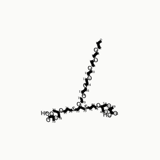 CCCOCCOCCOCCOCCOCCOCCOC(CSCCCOC1COC(C)(C(=O)O)OC1)CSCCCOC1COC(C)(C(=O)O)OC1